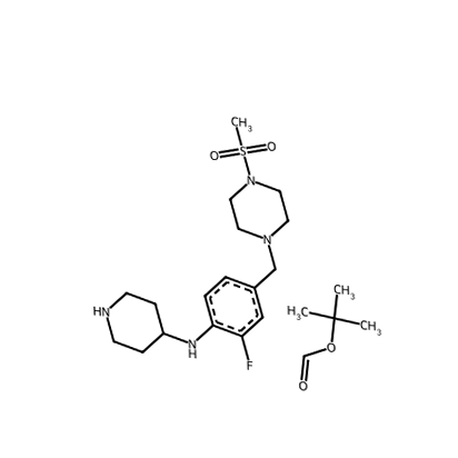 CC(C)(C)OC=O.CS(=O)(=O)N1CCN(Cc2ccc(NC3CCNCC3)c(F)c2)CC1